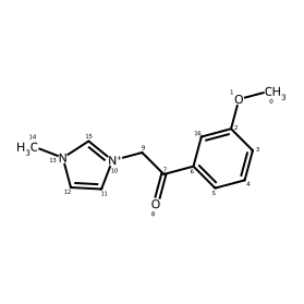 COc1cccc(C(=O)C[n+]2ccn(C)c2)c1